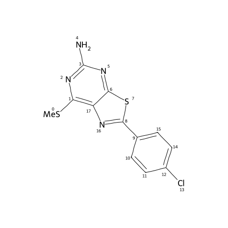 CSc1nc(N)nc2sc(-c3ccc(Cl)cc3)nc12